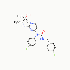 C[C@H](Nc1nccc(N(C(=O)NCc2ccc(F)cc2)c2ccc(F)cc2)n1)C(C)(C)O